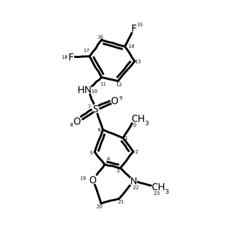 Cc1cc2c(cc1S(=O)(=O)Nc1ccc(F)cc1F)OCCN2C